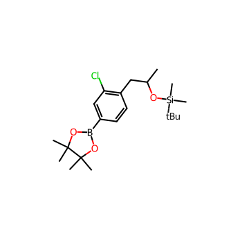 CC(Cc1ccc(B2OC(C)(C)C(C)(C)O2)cc1Cl)O[Si](C)(C)C(C)(C)C